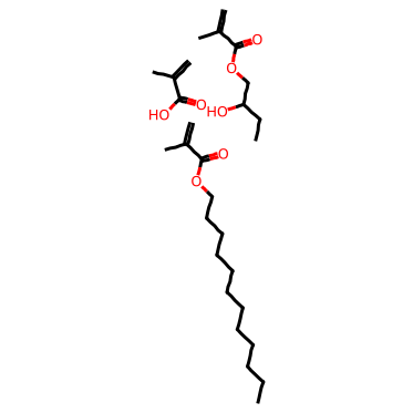 C=C(C)C(=O)O.C=C(C)C(=O)OCC(O)CC.C=C(C)C(=O)OCCCCCCCCCCCC